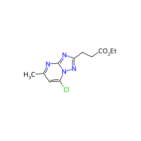 CCOC(=O)CCc1nc2nc(C)cc(Cl)n2n1